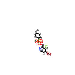 Cc1ccc(S(=O)(=O)OCc2nccc(Br)c2F)cc1